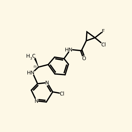 C[C@H](Nc1cncc(Cl)n1)c1cccc(NC(=O)C2CC2(F)Cl)c1